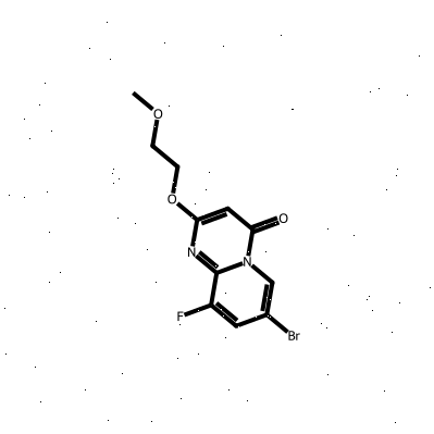 COCCOc1cc(=O)n2cc(Br)cc(F)c2n1